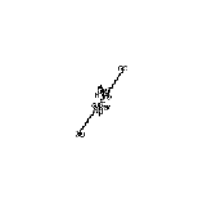 COC(=O)CCCCCCCCCCCNC(=O)C(CSSCC(NC(=O)OC(C)(C)C)C(=O)NCCCCCCCCCCCC(=O)OC)NC(=O)OC(C)(C)C